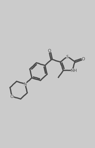 Cc1[nH]c(=O)sc1C(=O)c1ccc(N2CCOCC2)cc1